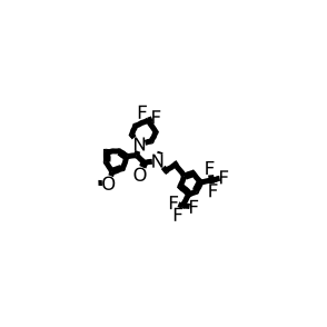 COc1cccc(C(C(=O)N(C)CCc2cc(C(F)(F)F)cc(C(F)(F)F)c2)N2CCC(F)(F)CC2)c1